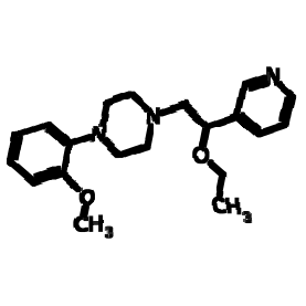 CCOC(CN1CCN(c2ccccc2OC)CC1)c1cccnc1